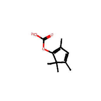 CC1=CC(C)=C(OC(=O)O)C1(C)C